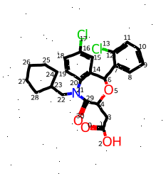 O=C(O)CC1OC(c2ccccc2Cl)c2cc(Cl)ccc2N(CC2CCCCC2)C1=O